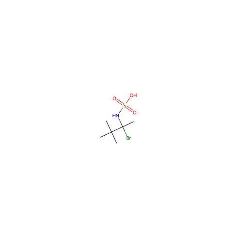 CC(C)(C)C(C)(Br)NS(=O)(=O)O